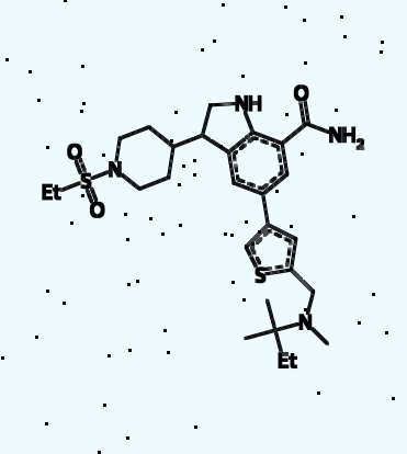 CCC(C)(C)N(C)Cc1cc(-c2cc(C(N)=O)c3c(c2)C(C2CCN(S(=O)(=O)CC)CC2)CN3)cs1